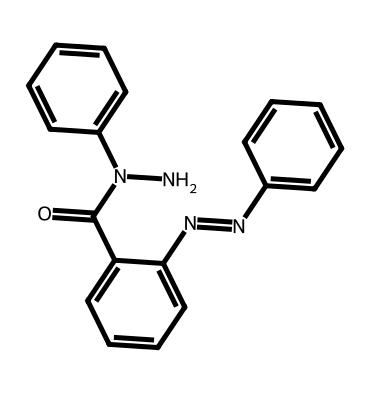 NN(C(=O)c1ccccc1N=Nc1ccccc1)c1ccccc1